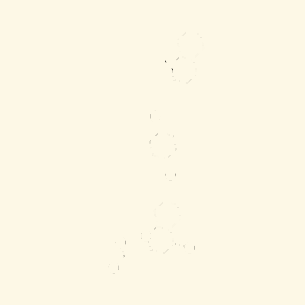 COC(=O)Cc1cc(=O)c2ccc(COc3ccc(OCCc4ccc5ccccc5n4)cc3)cc2o1